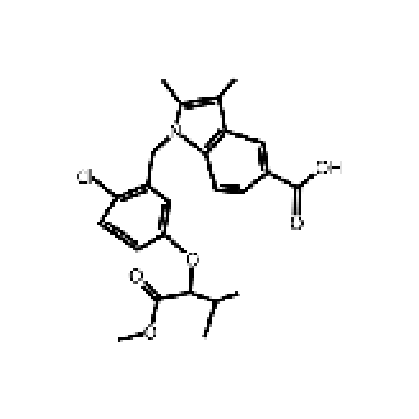 COC(=O)C(Oc1ccc(Cl)c(Cn2c(C)c(C)c3cc(C(=O)O)ccc32)c1)C(C)C